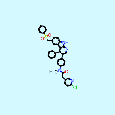 CN(C(=O)Cc1ccc(Cl)nc1)c1ccc(-c2cnc3[nH]c4ccc(CS(=O)(=O)c5ccccc5)cc4c3c2-c2ccccc2)cc1